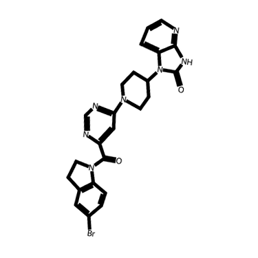 O=C(c1cc(N2CCC(n3c(=O)[nH]c4ncccc43)CC2)ncn1)N1CCc2cc(Br)ccc21